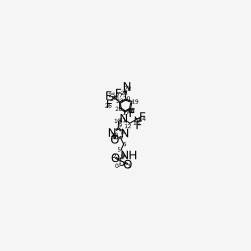 CS(=O)(=O)NCCc1nc(CN(CC(F)(F)F)c2ccc(C#N)c(C(F)(F)F)c2)no1